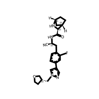 N#C[C@H](Cc1ccc(-c2cnn(C[C@@H]3CCOC3)c2)cc1F)NC(=O)[C@H]1N[C@@H]2CC[C@H]1C2